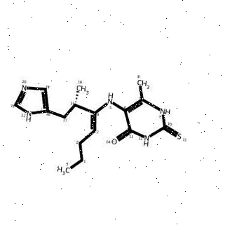 CCC/C=C(/Nc1c(C)[nH]c(=S)[nH]c1=O)[C@@H](C)Cc1cnc[nH]1